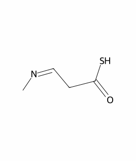 C/N=C\CC(=O)S